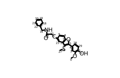 COc1cc(-c2oc3ccc(CCC(=O)NCc4ccccc4)cc3c2SC)ccc1O